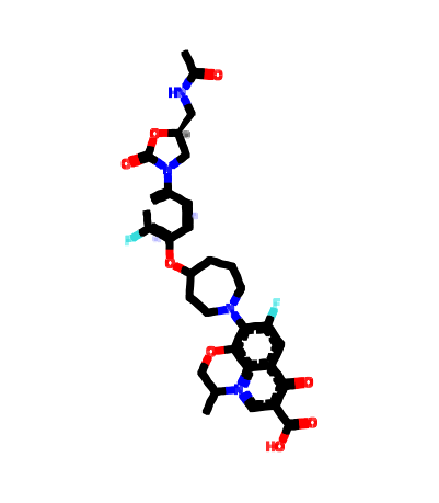 C=C(/C=C\C(OC1CCCN(c2c(F)cc3c(=O)c(C(=O)O)cn4c3c2OCC4C)CC1)=C(/C)F)N1C[C@H](CNC(C)=O)OC1=O